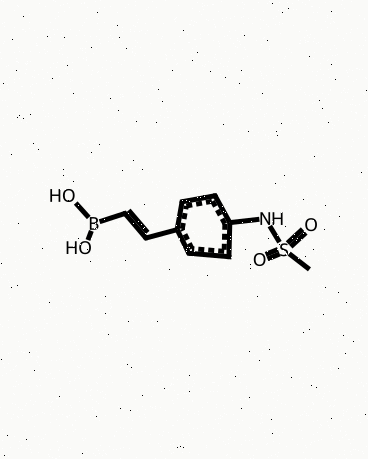 CS(=O)(=O)Nc1ccc(/C=C/B(O)O)cc1